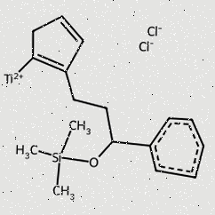 C[Si](C)(C)OC(CCC1=[C]([Ti+2])CC=C1)c1ccccc1.[Cl-].[Cl-]